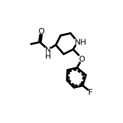 CC(=O)NC1CCNC(Oc2cccc(F)c2)C1